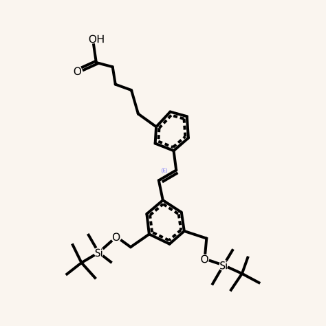 CC(C)(C)[Si](C)(C)OCc1cc(/C=C/c2cccc(CCCCC(=O)O)c2)cc(CO[Si](C)(C)C(C)(C)C)c1